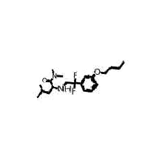 CCCCOc1cccc(C(F)(F)CNC(CC(C)C)C(=O)N(C)C)c1